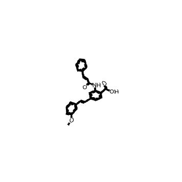 COc1cccc(C=Cc2ccc(C(=O)O)c(NC(=O)C=Cc3ccccc3)c2)c1